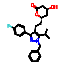 CC(C)c1c(CC[C@H]2C[C@H](O)CC(=O)O2)c(-c2ccc(F)cc2)nn1Cc1ccccc1